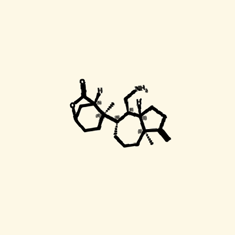 C=C1CC[C@H]2[C@H](CN)[C@@H]([C@@]3(C)CCC4C[C@@H]3C(=O)O4)CCC[C@]12C